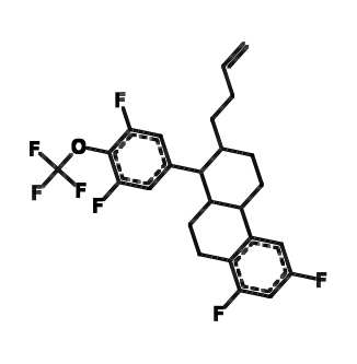 C=CCCC1CCC2c3cc(F)cc(F)c3CCC2C1c1cc(F)c(OC(F)(F)F)c(F)c1